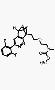 CN(CCNCC[C@@]12CC[C@@H](c3cc(-c4c(F)cccc4F)nnc31)C2(C)C)C(=O)OC(C)(C)C